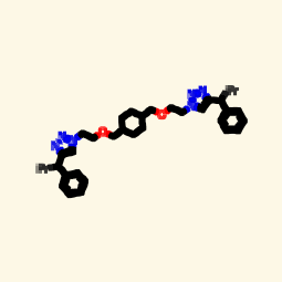 CC(C)C(c1ccccc1)c1cn(CCOCC2CCC(COCCn3cc(C(c4ccccc4)C(C)C)nn3)CC2)nn1